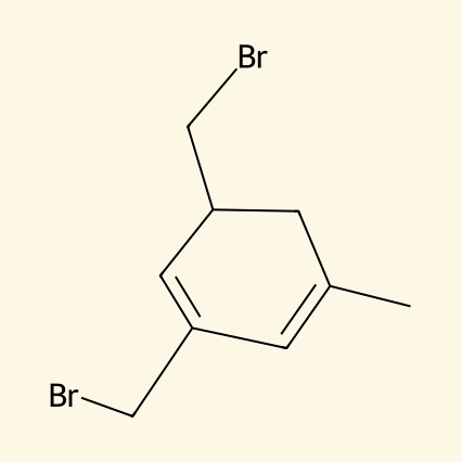 CC1=CC(CBr)=CC(CBr)C1